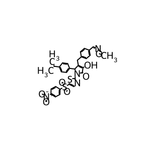 CO/N=C\c1ccc(CC2=C(O)C(=O)N(c3ncc(S(=O)(=O)c4ccc([N+](=O)[O-])cc4)s3)C2c2ccc(C(C)C)cc2)cc1